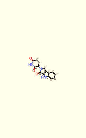 O=C1CCC(N2Cc3c([nH]c4ccccc34)C2=O)C(=O)N1